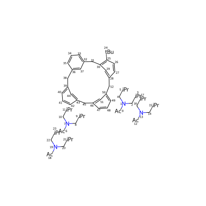 CC(=O)N(CC(C)C)CC(C)C.CC(=O)N(CC(C)C)CC(C)C.CC(=O)N(CC(C)C)CC(C)C.CC(=O)N(CC(C)C)CC(C)C.CC(C)(C)c1ccc2cc1Cc1cccc(c1)Cc1cccc(c1)Cc1cccc(c1)C2